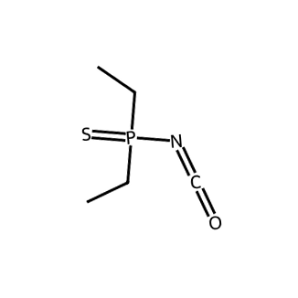 CCP(=S)(CC)N=C=O